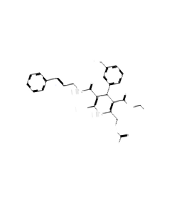 CCOC(=O)C1=C(COC(C)=O)NC(C)=C(C(=O)NC/C=C/c2ccccc2)C1c1cccc(Cl)c1